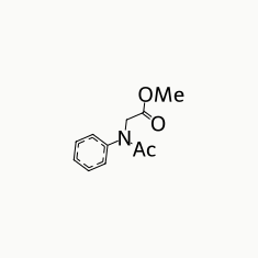 COC(=O)CN(C(C)=O)c1ccccc1